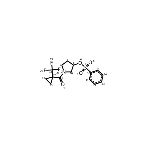 O=C(N1CCC(OS(=O)(=O)c2ccccc2)C1)C1(C(F)(F)F)CC1